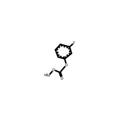 CCCCOC(=O)Oc1cccc(F)c1